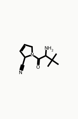 CC(C)(C)C(N)C(=O)N1CC=CC1C#N